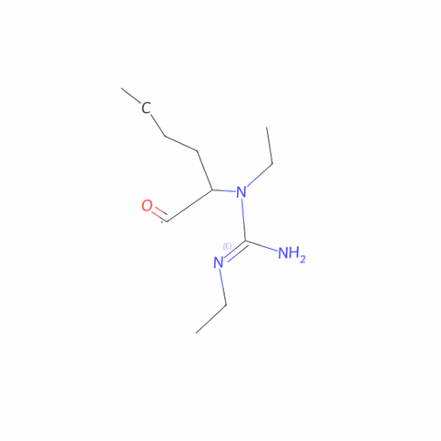 CCCCC([C]=O)N(CC)/C(N)=N/CC